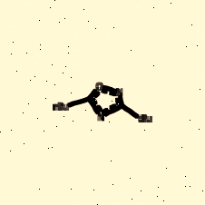 CCCCc1nc(C(C)(C)C)no1